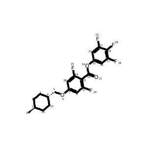 C[C@H]1CC[C@H](COc2cc(F)c(C(=O)Oc3cc(F)c(F)c(F)c3)c(F)c2)CC1